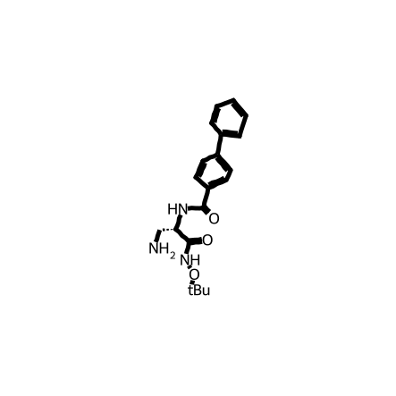 CC(C)(C)ONC(=O)[C@H](CN)NC(=O)c1ccc(-c2ccccc2)cc1